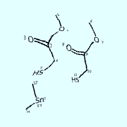 COC(=O)CS.COC(=O)CS.[CH3][Sn][CH3]